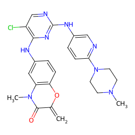 C=C1Oc2ccc(Nc3nc(Nc4ccc(N5CCN(C)CC5)nc4)ncc3Cl)cc2N(C)C1=O